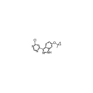 CC1(Oc2ccc3c(-c4cc(Cl)ncn4)n[nH]c3c2)CC1